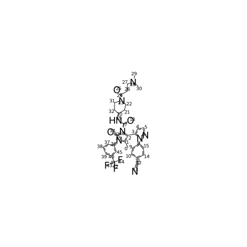 Cc1c(-c2ccnn2-c2ccc(C#N)cc2)n(C(=O)NC2CCN(C(=O)CCN(C)C)CC2)c(=O)n1-c1cccc(C(F)(F)F)c1